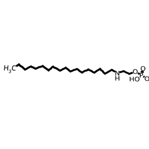 CCCCCCCCCCCCCCCCCCNCCOP(=O)(O)O